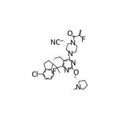 C=C(F)C(=O)N1CCN(c2nc(OC[C@@H]3CCCN3C)nc3c2CC[C@]2(CCc4c(Cl)cccc42)C3(C)F)C[C@@H]1CC#N